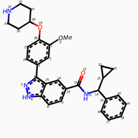 COc1cc(-c2n[nH]c3ccc(C(=O)NC(c4ccccc4)C4CC4)cc23)ccc1OC1CCNCC1